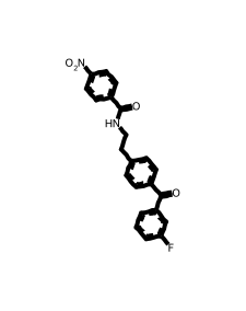 O=C(NCCc1ccc(C(=O)c2cccc(F)c2)cc1)c1ccc([N+](=O)[O-])cc1